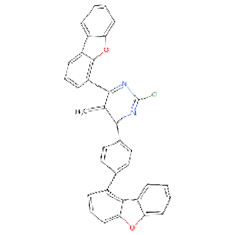 C=C1C(c2cccc3c2oc2ccccc23)=NC(Cl)=NC1c1ccc(-c2cccc3oc4ccccc4c23)cc1